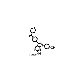 CCC[C@H](C)Nc1ncc2c(C3CCN(C(=O)C4CCOCC4)CC3)cn([C@H]3CC[C@H](O)CC3)c2n1